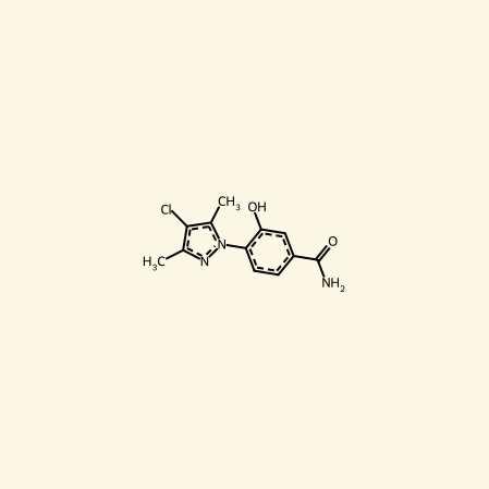 Cc1nn(-c2ccc(C(N)=O)cc2O)c(C)c1Cl